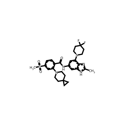 Cc1nc2c(N3CCC(F)(F)CC3)cc(NC(=O)c3ccc(S(C)(=O)=O)cc3N3CCC4(CC3)CC4)cc2[nH]1